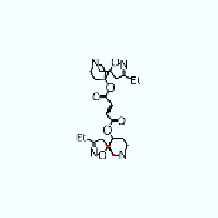 CCC1=NOC2(C1)CN1CCC2(OC(=O)/C=C/C(=O)OC23CCN(CC2)CC32CC(CC)=NO2)CC1